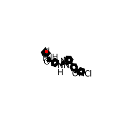 O=C(N[C@H]1CN2CCC1CC2)c1ccc(Nc2nc3c(C4CCC(O)(c5ccc(Cl)cc5)CC4)cccn3n2)cc1